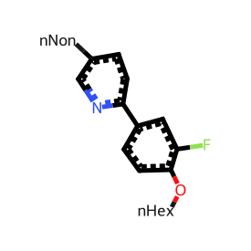 CCCCCCCCCc1ccc(-c2ccc(OCCCCCC)c(F)c2)nc1